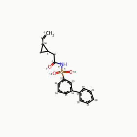 C=C[C@@H]1CC1CC(=O)NS(=O)(=O)c1cccc(-c2ccccc2)c1